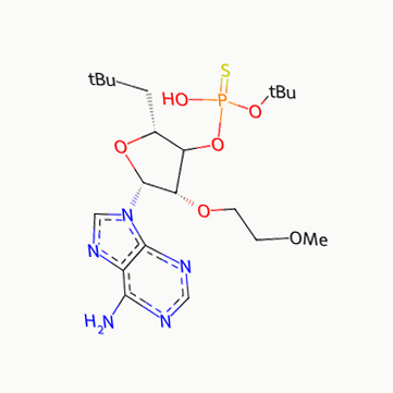 COCCO[C@H]1C(OP(O)(=S)OC(C)(C)C)[C@@H](CC(C)(C)C)O[C@H]1n1cnc2c(N)ncnc21